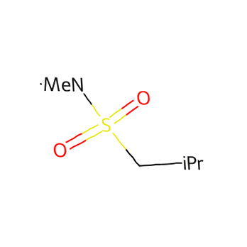 C[N]S(=O)(=O)CC(C)C